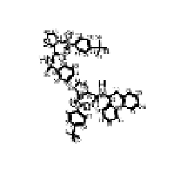 CC(C)(C)c1ccc(S(=O)(=O)N2CCSC2C(=O)NC(Cc2ccccc2)c2ccccc2)cc1.CC(NC(=O)C1SCCN1S(=O)(=O)c1ccc(C(C)(C)C)cc1)c1ccccc1